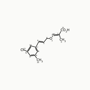 CC(=NOCC=Cc1cc(C)cc(Cl)c1)C(=O)O